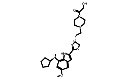 COc1cc(NC2CCCC2)c2[nH]c(C3=N[C@H](CCN4CCN(C(=O)CO)CC4)CS3)cc2c1